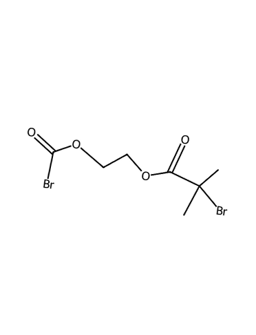 CC(C)(Br)C(=O)OCCOC(=O)Br